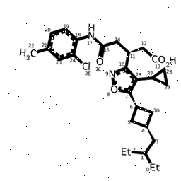 CCC(CC)C[C@H]1C[C@@H](c2onc([C@H](CC(=O)O)CC(=O)Nc3ccc(C)cc3Cl)c2C2CC2)C1